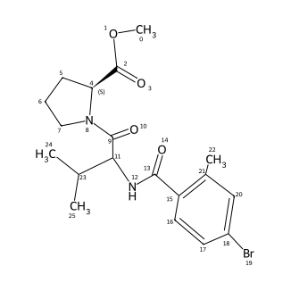 COC(=O)[C@@H]1CCCN1C(=O)C(NC(=O)c1ccc(Br)cc1C)C(C)C